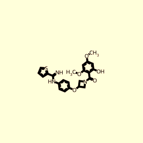 COc1cc(O)c(C(=O)N2CC(Oc3ccc(NC(=N)c4cccs4)cc3)C2)c(OC)c1